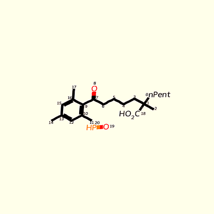 CCCCCC(C)(CCCCC(=O)c1c(C)cc(C)cc1C)C(=O)O.O=P